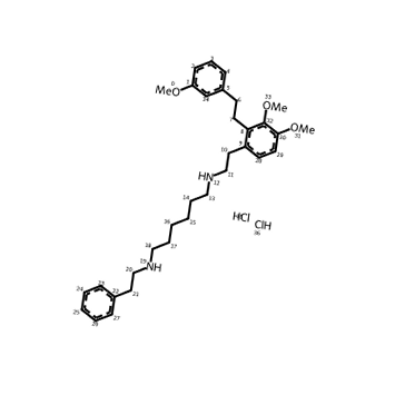 COc1cccc(CCc2c(CCNCCCCCCNCCc3ccccc3)ccc(OC)c2OC)c1.Cl.Cl